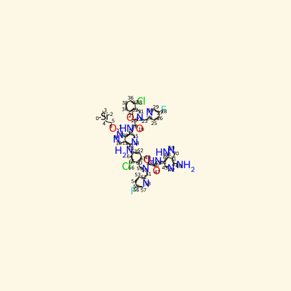 C[Si](C)(C)CCOCn1ncc2c(N)ncc(NC(=O)C(=O)N(Cc3ccc(F)cn3)Cc3ccccc3Cl)c21.Nc1ncc(NC(=O)C(=O)N(Cc2ccc(F)cn2)Cc2ccccc2Cl)c2[nH]ncc12